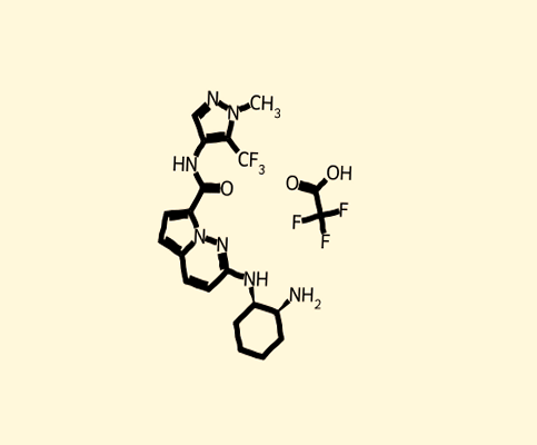 Cn1ncc(NC(=O)c2ccc3ccc(N[C@@H]4CCCC[C@@H]4N)nn23)c1C(F)(F)F.O=C(O)C(F)(F)F